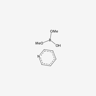 COB(O)OC.c1ccncc1